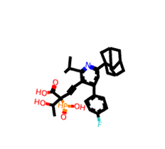 CC(C)c1nc(C23CC4CC(CC(C4)C2)C3)cc(-c2ccc(F)cc2)c1C#CC(C(=O)O)(C(C)O)[PH](=O)O